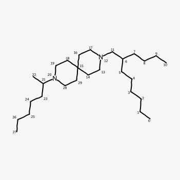 CCCCCCC(CCCC)CN1CCC2(CC1)CCN(C(C)CCCCC)CC2